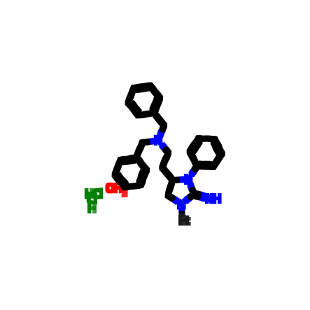 CCN1CC(CCN(Cc2ccccc2)Cc2ccccc2)N(c2ccccc2)C1=N.Cl.Cl.O